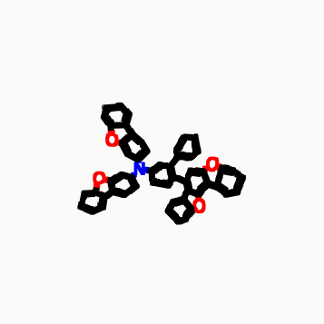 c1ccc(-c2cc(N(c3ccc4c(c3)oc3ccccc34)c3ccc4c(c3)oc3ccccc34)ccc2-c2cc3oc4ccccc4c3c3oc4ccccc4c23)cc1